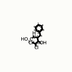 O=C(O)NC(Cc1ccccc1)C(O)C(Cl)Cl